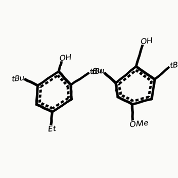 CCc1cc(C(C)(C)C)c(O)c(C(C)(C)C)c1.COc1cc(C(C)(C)C)c(O)c(C(C)(C)C)c1